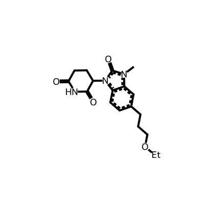 CCOCCCc1ccc2c(c1)n(C)c(=O)n2C1CCC(=O)NC1=O